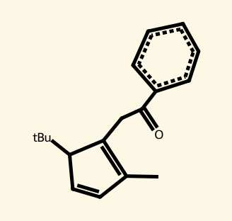 CC1=C(CC(=O)c2ccccc2)C(C(C)(C)C)C=C1